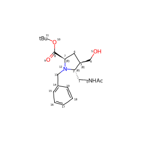 CC(=O)NC[C@H]1[C@H](CO)C[C@H](C(=O)OC(C)(C)C)N1Cc1ccccc1